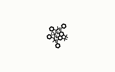 CC1=C(c2ccccc2)N2C(=O)N3C(c4ccccc4)=C(C)B(c4ccccc4)c4cc5c6c(cc(c2c6c43)B1c1ccccc1)C(C)(C)C5(C)C